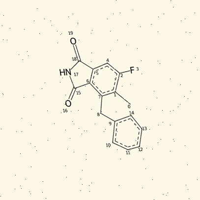 Cc1c(F)cc2c(c1Cc1ccccc1)C(=O)NC2=O